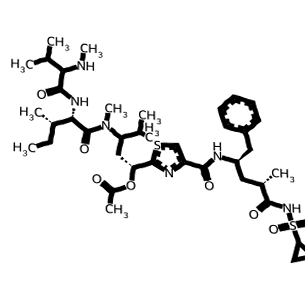 CC[C@H](C)[C@H](NC(=O)C(NC)C(C)C)C(=O)N(C)C(C[C@@H](OC(C)=O)c1nc(C(=O)N[C@@H](Cc2ccccc2)C[C@H](C)C(=O)NS(=O)(=O)C2CC2)cs1)C(C)C